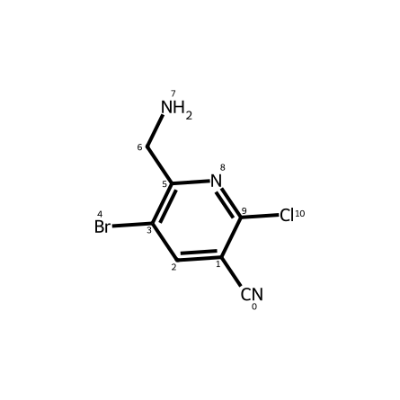 N#Cc1cc(Br)c(CN)nc1Cl